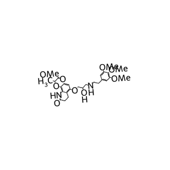 COC(=O)C(C)Oc1ccc(OCC(O)CNCCc2cc(OC)c(OC)c(OC)c2)c2c1NC(=O)CC2